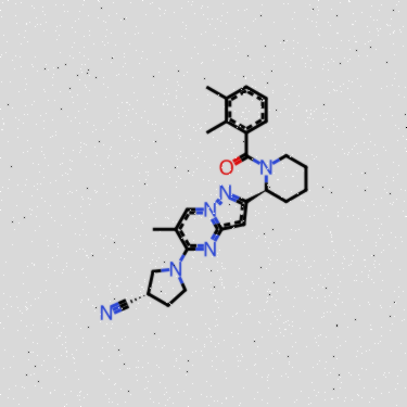 Cc1cn2nc([C@@H]3CCCCN3C(=O)c3cccc(C)c3C)cc2nc1N1CC[C@H](C#N)C1